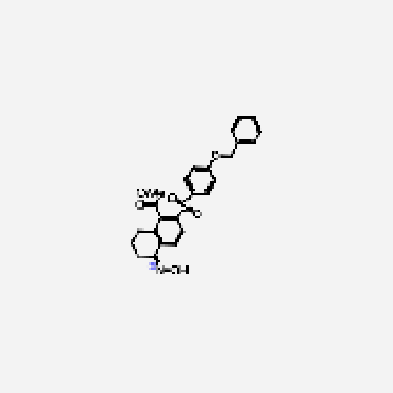 COC(=O)c1c(S(=O)(=O)c2ccc(OCc3ccccc3)cc2)ccc2c1CCC/C2=N/O